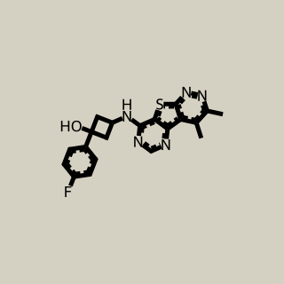 Cc1nnc2sc3c(NC4CC(O)(c5ccc(F)cc5)C4)ncnc3c2c1C